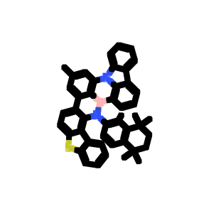 Cc1cc2c3c(c1)-n1c4ccccc4c4cccc(c41)B3N(c1ccc3c(c1C)C(C)(C)CCC3(C)C)c1c-2ccc2sc3ccccc3c12